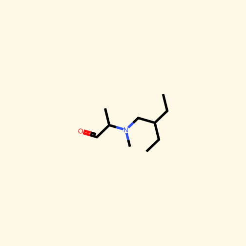 CCC(CC)CN(C)C(C)C=O